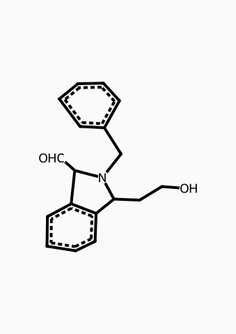 O=CC1c2ccccc2C(CCO)N1Cc1ccccc1